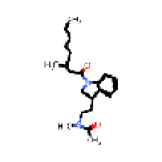 CCCCCC(C)CC(=O)N1CC(CCN(C)C(C)=O)c2ccccc21